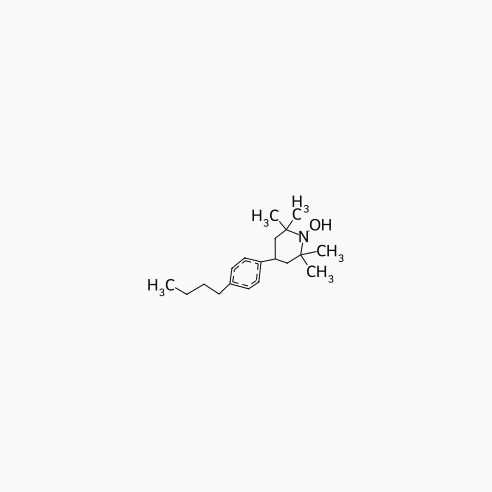 CCCCc1ccc(C2CC(C)(C)N(O)C(C)(C)C2)cc1